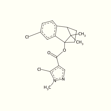 Cn1ncc(C(=O)OC23CCC(c4ccc(Cl)cc42)C3(C)C)c1Cl